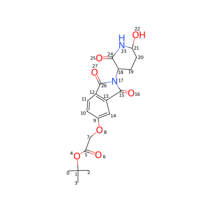 CC(C)(C)OC(=O)COc1ccc2c(c1)C(=O)N(C1CCC(O)NC1=O)C2=O